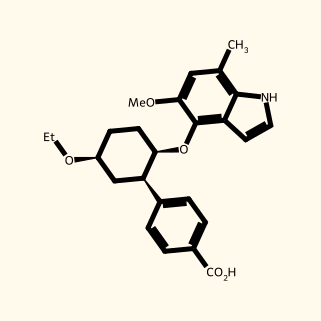 CCO[C@H]1CC[C@@H](Oc2c(OC)cc(C)c3[nH]ccc23)[C@@H](c2ccc(C(=O)O)cc2)C1